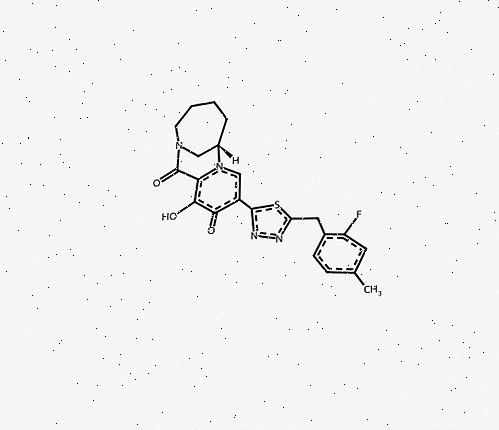 Cc1ccc(Cc2nnc(-c3cn4c(c(O)c3=O)C(=O)N3CCCC[C@H]4C3)s2)c(F)c1